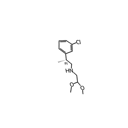 COC(CNC[C@H](C)c1cccc(Cl)c1)OC